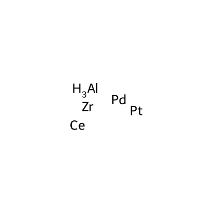 [AlH3].[Ce].[Pd].[Pt].[Zr]